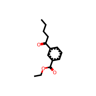 CCCCC(=O)c1cccc(C(=O)OCC)c1